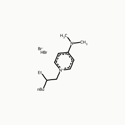 Br.CCCCC(CC)C[n+]1ccc(N(C)C)cc1.[Br-]